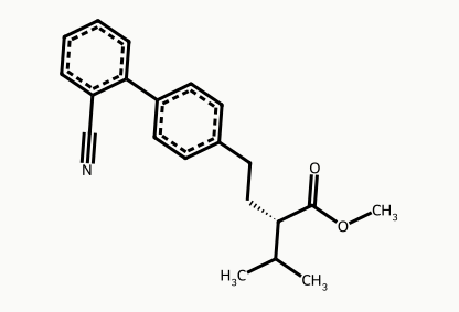 COC(=O)[C@@H](CCc1ccc(-c2ccccc2C#N)cc1)C(C)C